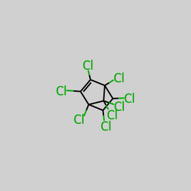 ClC1=C(Cl)C2(Cl)C(Cl)C(Cl)C1(Cl)C2(Cl)Cl